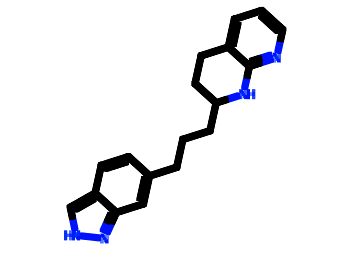 c1cnc2c(c1)CCC(CCCc1ccc3c[nH]nc3c1)N2